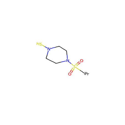 CC(C)S(=O)(=O)N1CCN(S)CC1